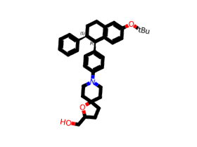 CC(C)(C)Oc1ccc2c(c1)CC[C@H](c1ccccc1)[C@@H]2c1ccc(N2CCC3(CCC(CO)O3)CC2)cc1